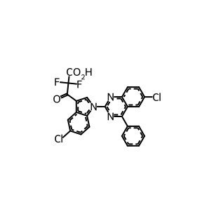 O=C(O)C(F)(F)C(=O)c1cn(-c2nc(-c3ccccc3)c3cc(Cl)ccc3n2)c2ccc(Cl)cc12